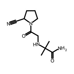 CC(C)(NCC(=O)N1CCCC1C#N)C(N)=O